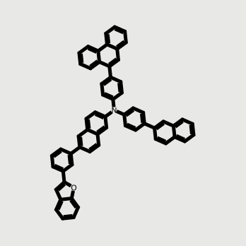 c1cc(-c2ccc3cc(N(c4ccc(-c5ccc6ccccc6c5)cc4)c4ccc(-c5cc6ccccc6c6ccccc56)cc4)ccc3c2)cc(-c2cc3ccccc3o2)c1